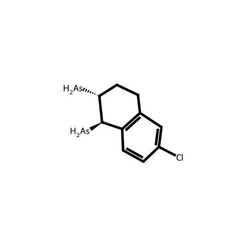 Clc1ccc2c(c1)CC[C@@H]([AsH2])[C@@H]2[AsH2]